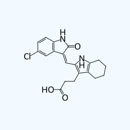 O=C(O)CCc1c(C=C2C(=O)Nc3ccc(Cl)cc32)[nH]c2c1CCCC2